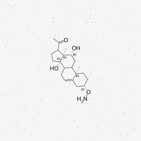 CC(=O)C1CC[C@]2(O)C3CC=C4C[C@@H](ON)CC[C@]4(C)C3C[C@@H](O)[C@]12C